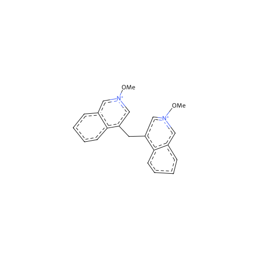 CO[n+]1cc(Cc2c[n+](OC)cc3ccccc23)c2ccccc2c1